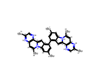 CC(C)(C)c1cc(-c2cc(C(C)(C)C)cc3c2cc2c4ncc(C(C)(C)C)nc4cc(C(C)(C)C)n32)c2cc3c4ncc(C(C)(C)C)nc4cc(C(C)(C)C)n3c2c1